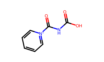 O=C(O)NC(=O)[n+]1ccccc1